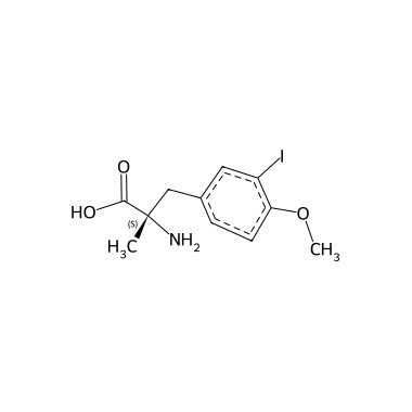 COc1ccc(C[C@](C)(N)C(=O)O)cc1I